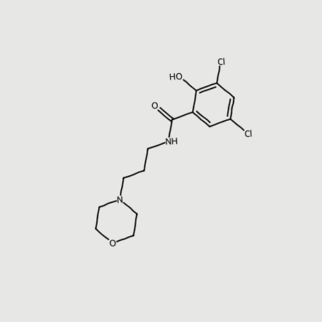 O=C(NCCCN1CCOCC1)c1cc(Cl)cc(Cl)c1O